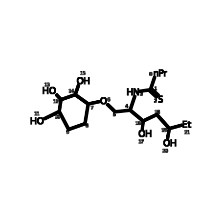 CCCC(=S)NC(COC1CCC(O)C(O)C1O)C(O)CC(O)CC